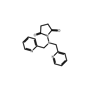 O=C1CCC(=O)N1N(Cc1ccccn1)Cc1ccccn1